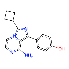 Nc1nccn2c(C3CCC3)nc(-c3ccc(O)cc3)c12